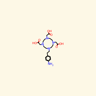 Nc1ccc(CCN2CCN(CC(=O)O)CCN(CC(=O)O)CCN(CC(=O)O)CC2)cc1